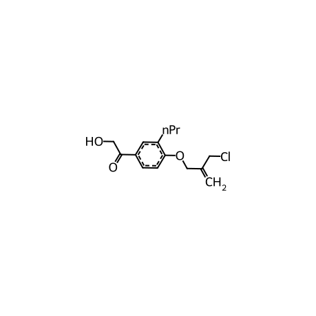 C=C(CCl)COc1ccc(C(=O)CO)cc1CCC